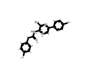 CCc1nc(-c2ccc(F)cc2)cnc1NC(=O)Cc1ccc(I)cc1